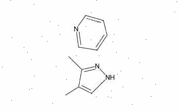 Cc1c[nH]nc1C.c1ccncc1